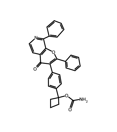 NC(=O)OC1(c2ccc(-c3c(-c4ccccc4)oc4c(-c5ccccc5)nccc4c3=O)cc2)CCC1